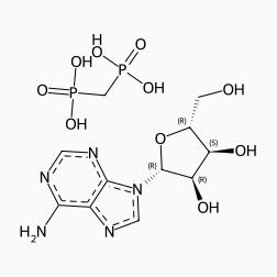 Nc1ncnc2c1ncn2[C@@H]1O[C@H](CO)[C@@H](O)[C@H]1O.O=P(O)(O)CP(=O)(O)O